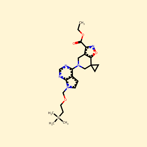 CCOC(=O)c1noc2c1CN(c1ncnc3c1ccn3COCC[Si](C)(C)C)CC21CC1